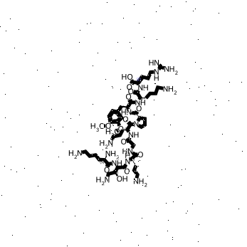 COc1ccc(C[C@H](NC(=O)[C@@H]2CCCN2C(=O)[C@@H](CCCN)NC(=O)CNC(=O)[C@H](CCCN)NC(=O)[C@H](NC(=O)[C@@H](N)CCCCN)[C@@H](O)CN)C(=O)N[C@@H](CCCCN)C(=O)N/C(=C\CCNC(=N)N)C(=O)O)cc1OC